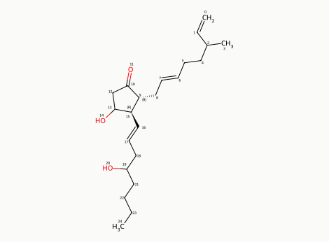 C=CC(C)CCC=CC[C@H]1C(=O)CC(O)[C@@H]1C=CCC(O)CCCC